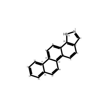 B1N=Cc2ccc3c(ccc4c5ccccc5ccc34)c21